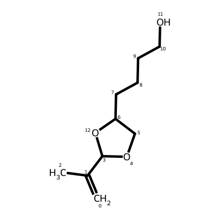 C=C(C)C1OCC(CCCCO)O1